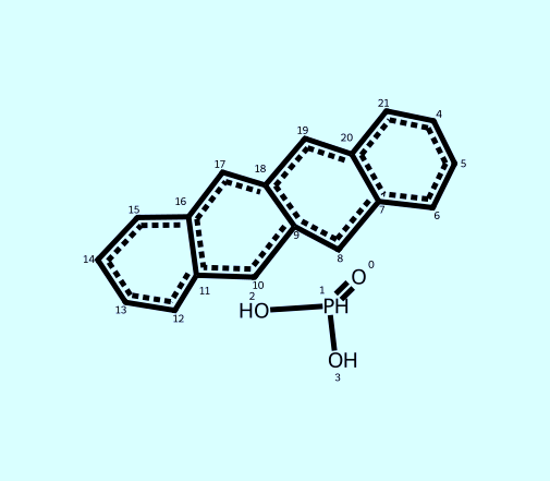 O=[PH](O)O.c1ccc2cc3cc4ccccc4cc3cc2c1